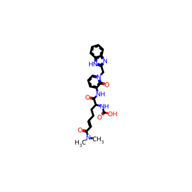 CN(C)C(=O)C=CCCC(NC(=O)O)C(=O)Nc1cccn(Cc2nc3ccccc3[nH]2)c1=O